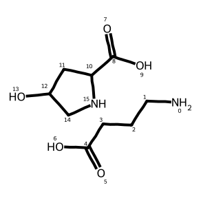 NCCCC(=O)O.O=C(O)C1CC(O)CN1